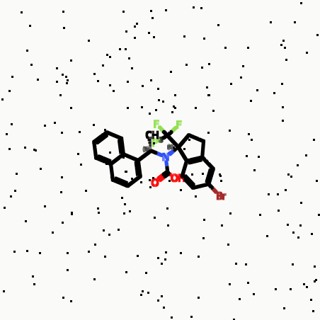 C[C@@H](c1cccc2ccccc12)N(C(=O)O)[C@@]1(C(F)(F)F)CCc2cc(Br)ccc21